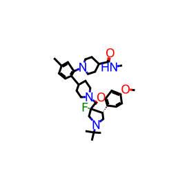 CNC(=O)C1CCN(c2cc(C)ccc2C2CCN(C(=O)[C@]3(F)CN(C(C)(C)C)C[C@H]3c3ccc(OC)cc3)CC2)CC1